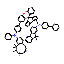 CC1/C=C\C=C/Cc2ccc(N(c3ccccc3)c3ccc(-c4ccc5c(c4)C4(c6ccccc6O5)c5ccccc5-c5c(N(c6ccc(-c7ccccc7)cc6)c6ccc7c(c6)C(C)(C)c6ccccc6-7)cccc54)cc3)cc2C1(C)C